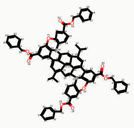 CC(C)c1cc2c3c(cc4c(C(C)C)cc5c6c(cc1c3c46)B1c3ccc(C(=O)OCc4ccccc4)cc3Oc3cc(C(=O)OCc4ccccc4)cc-5c31)B1c3ccc(C(=O)OCc4ccccc4)cc3Oc3cc(C(=O)OCc4ccccc4)cc-2c31